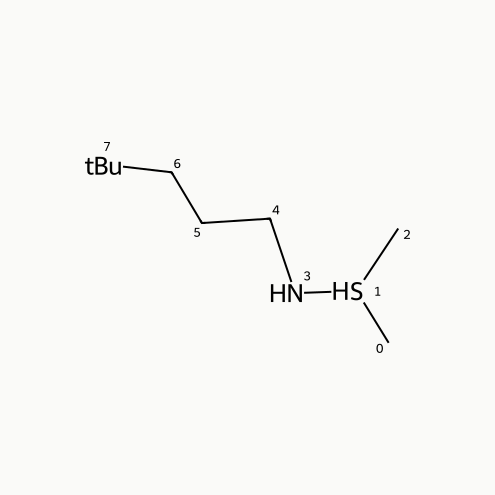 C[SH](C)NCCCC(C)(C)C